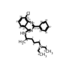 CCN(CC)CCCC(C)Nc1nc(-c2ccccc2)nc2c(Cl)cccc12